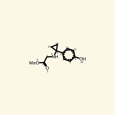 COC(=O)CNC1(c2ccc(O)cc2)CC1